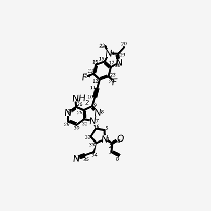 C=CC(=O)N1C[C@@H](n2nc(C#Cc3c(F)cc4c(nc(C)n4C)c3F)c3c(N)nccc32)C[C@@H]1CC#N